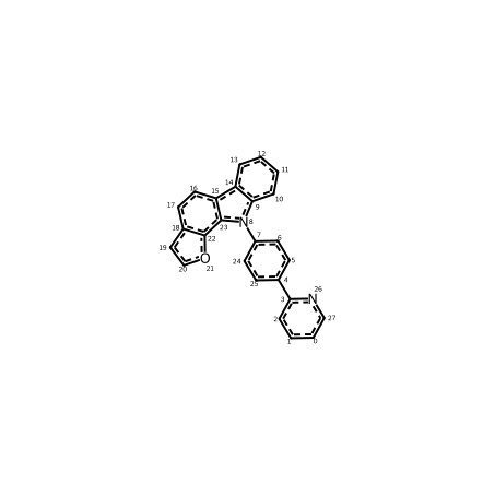 c1ccc(-c2ccc(-n3c4ccccc4c4ccc5ccoc5c43)cc2)nc1